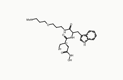 CNCCCOCCCNC(=O)C(Cc1c[nH]c2ccccc12)NC(=O)[C@@H](CC(=O)NO)CC(C)C